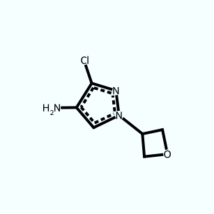 Nc1cn(C2COC2)nc1Cl